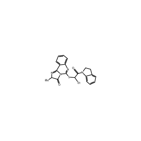 CCC(SC1=Nc2ccccc2C2=NC(C(C)CC)C(=O)N12)C(=O)N1CCc2ccccc21